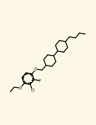 CCCCC1CCC(C2CCC(COc3ccc(OCC)c(Cl)c3F)CC2)CC1